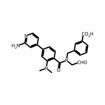 CN(C)c1cc(-c2ccnc(N)c2)ccc1C(=O)N(CC=O)Cc1cccc(C(=O)O)c1